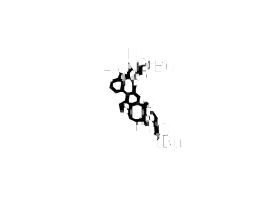 CC(C)(C)OC(=O)Nc1nc2c(-c3c(F)cc4c5c3ccn5CC[C@@H]3CN(C(=O)OC(C)(C)C)CCN3C4=O)ccc(F)c2s1